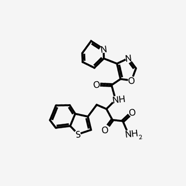 NC(=O)C(=O)C(Cc1csc2ccccc12)NC(=O)c1ocnc1-c1ccccn1